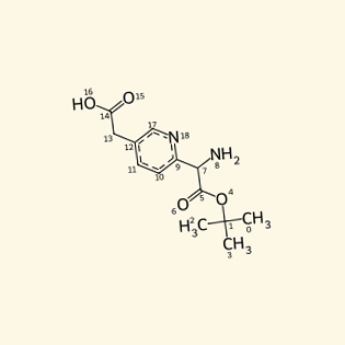 CC(C)(C)OC(=O)C(N)c1ccc(CC(=O)O)cn1